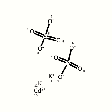 O=S(=O)([O-])[O-].O=S(=O)([O-])[O-].[Cd+2].[K+].[K+]